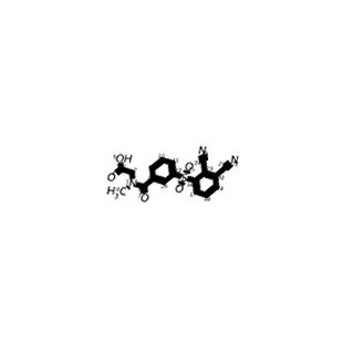 CN(CC(=O)O)C(=O)c1cccc(S(=O)(=O)c2cccc(C#N)c2C#N)c1